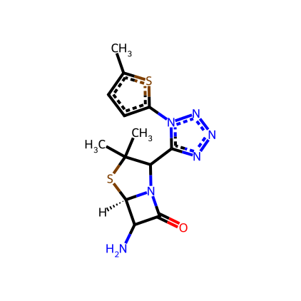 Cc1ccc(-n2nnnc2C2N3C(=O)C(N)[C@H]3SC2(C)C)s1